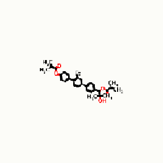 C=C(C)C(=O)Oc1ccc(-c2ccc(-c3ccc(C(OC(=O)C(=C)C)C(C)(C)O)cc3)cc2CC)cc1